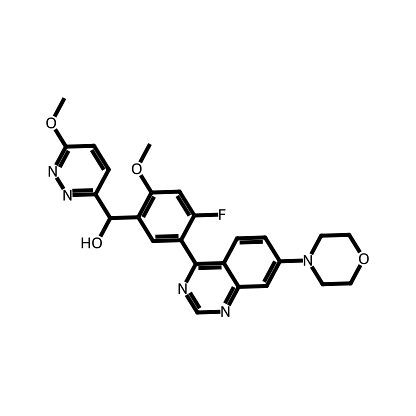 COc1ccc(C(O)c2cc(-c3ncnc4cc(N5CCOCC5)ccc34)c(F)cc2OC)nn1